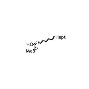 CCCCCCCCCCCCOP(O)OSC